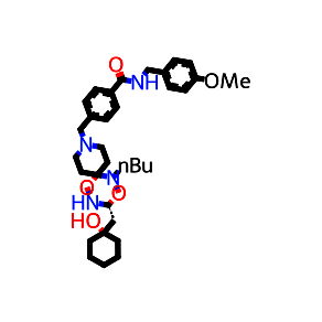 CCCCN1O[C@H](CC2(O)CCCCC2)NOC12CCN(Cc1ccc(C(=O)NCc3ccc(OC)cc3)cc1)CC2